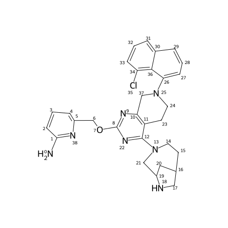 Nc1cccc(COc2nc3c(c(N4CCC5CNC(C5)C4)n2)CCN(c2cccc4cccc(Cl)c24)C3)n1